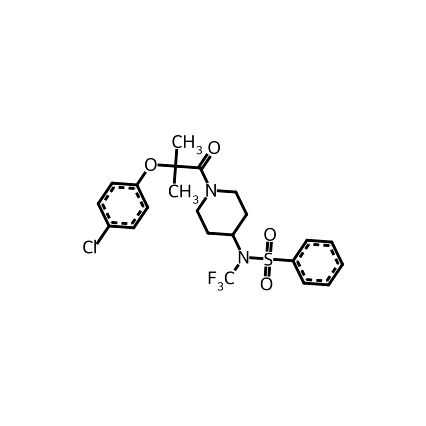 CC(C)(Oc1ccc(Cl)cc1)C(=O)N1CCC(N(C(F)(F)F)S(=O)(=O)c2ccccc2)CC1